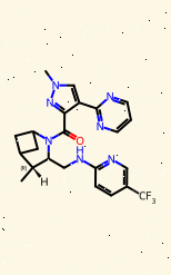 C[C@@H]1C2CC(C2)N(C(=O)c2nn(C)cc2-c2ncccn2)C1CNc1ccc(C(F)(F)F)cn1